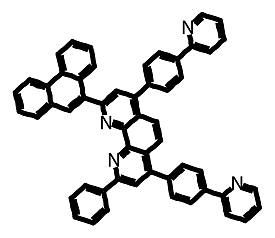 c1ccc(-c2cc(-c3ccc(-c4ccccn4)cc3)c3ccc4c(-c5ccc(-c6ccccn6)cc5)cc(-c5cc6ccccc6c6ccccc56)nc4c3n2)cc1